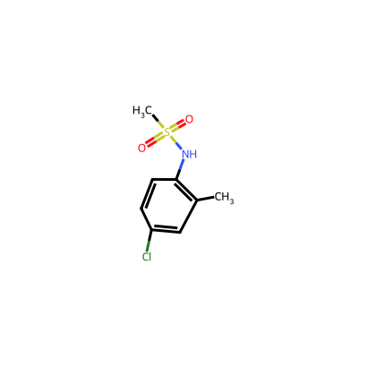 Cc1cc(Cl)ccc1NS(C)(=O)=O